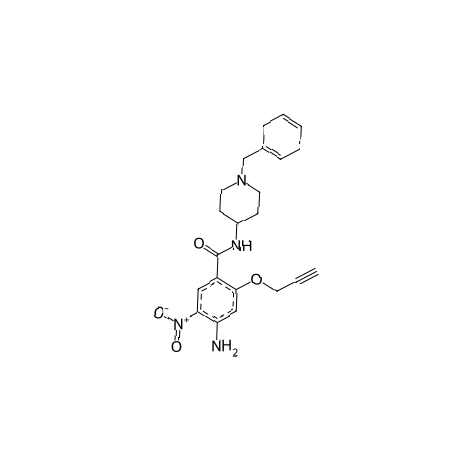 C#CCOc1cc(N)c([N+](=O)[O-])cc1C(=O)NC1CCN(CC2=CCC=CC2)CC1